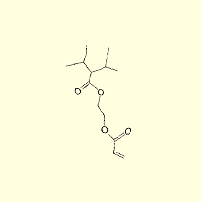 C=CC(=O)OCCOC(=O)C(C(C)C)C(C)C